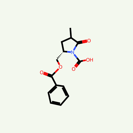 CC1C[C@@H](COC(=O)c2ccccc2)N(C(=O)O)C1=O